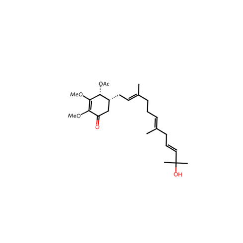 COC1=C(OC)[C@H](OC(C)=O)[C@H](C/C=C(\C)CC/C=C(\C)C/C=C/C(C)(C)O)CC1=O